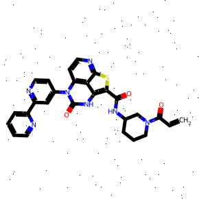 C=CC(=O)N1CCCC(NC(=O)c2sc3nccc4c3c2NC(=O)N4c2ccnc(-c3ccccn3)c2)C1